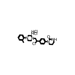 Cc1ccccc1N1CCN(CC(Cl)c2ccc(N3CCCNC3=O)cc2)CC1.Cl.Cl